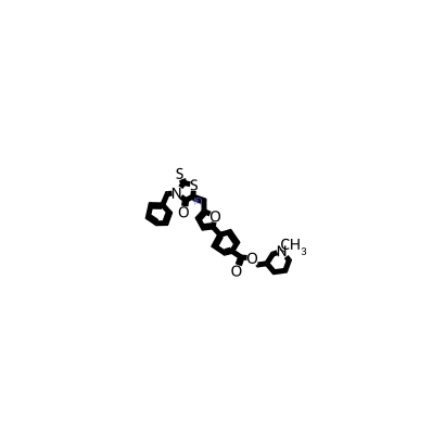 CN1CCCC(COC(=O)c2ccc(-c3ccc(/C=C4/SC(=S)N(Cc5ccccc5)C4=O)o3)cc2)C1